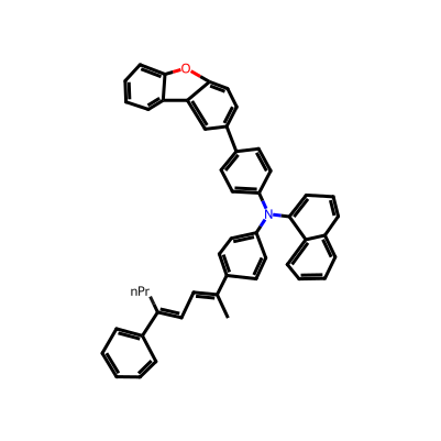 CCC/C(=C\C=C(/C)c1ccc(N(c2ccc(-c3ccc4oc5ccccc5c4c3)cc2)c2cccc3ccccc23)cc1)c1ccccc1